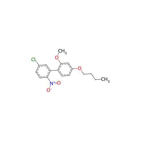 CCCCOc1ccc(-c2cc(Cl)ccc2[N+](=O)[O-])c(OC)c1